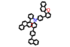 c1ccc(N(c2ccc(-c3ccc(-c4cccc5ccccc45)cc3)cc2)c2ccc(-c3cccc4oc5c6ccccc6ccc5c34)cc2)c(-c2cccc3c2ccc2ccccc23)c1